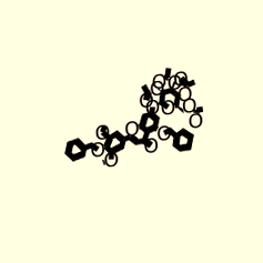 COc1cc(-c2cc(=O)c3c(OCc4ccccc4)cc(O[C@@H]4O[C@H](COC(C)=O)[C@H](OC(C)=O)[C@H](OC(C)=O)[C@H]4OC(C)=O)cc3o2)cc(OC)c1OCc1ccccc1